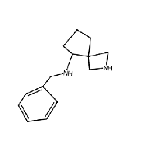 c1ccc(CNC2CCCC23CNC3)cc1